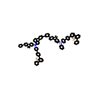 CC1(C)c2cc(-c3cccc(-c4ccc5c(c4)-c4ccc(N(c6ccc(-c7ccc(-c8cccc9c8sc8ccccc89)cc7)cc6)c6ccc7c(c6)C(C)(C)c6cc(-c8ccccc8)ccc6-7)c6cccc-5c46)c3)ccc2-c2ccc(N(c3ccccc3)c3ccc(-c4ccc(-c5cccc6c5sc5c(-c7ccccc7)cccc56)cc4)cc3)cc21